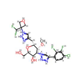 CO[C@@H]1[C@@H](n2cc(-c3ccc(Cl)c(F)c3F)nn2)[C@@H](O)[C@@H](CO)O[C@@H]1Cc1cn(C2(C(F)F)COC2)nn1